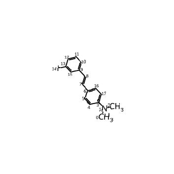 CN(C)c1ccc(/C=C/c2cccc(I)c2)cc1